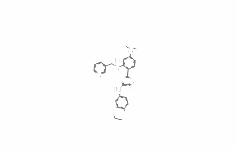 CN(C)c1ccc(-c2nnc(Nc3ccc4c(c3)OCCO4)o2)c(NCc2cccnc2)c1